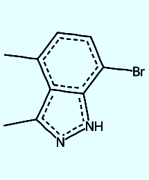 Cc1ccc(Br)c2[nH]nc(C)c12